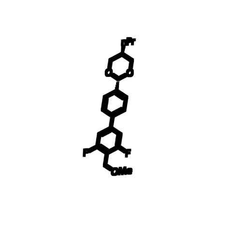 CCC[C@H]1CO[C@H](c2ccc(-c3cc(F)c(COC)c(F)c3)cc2)OC1